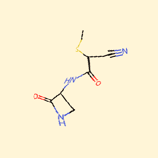 CSC(C#N)C(=O)NC1CNC1=O